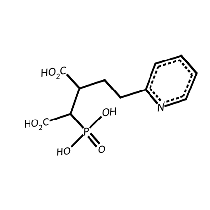 O=C(O)C(CCc1ccccn1)C(C(=O)O)P(=O)(O)O